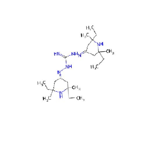 CCC1(C)CC(=NNC(=N)NN=C2CC(C)(CC)NC(C)(CC)C2)CC(C)(CC)N1